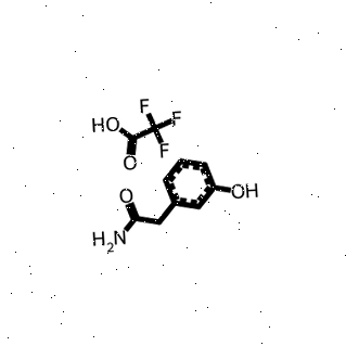 NC(=O)Cc1cccc(O)c1.O=C(O)C(F)(F)F